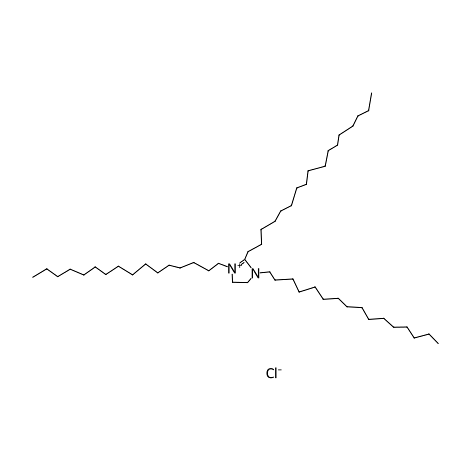 CCCCCCCCCCCCCCCCCC1=[N+](CCCCCCCCCCCCCCCC)CCN1CCCCCCCCCCCCCCCC.[Cl-]